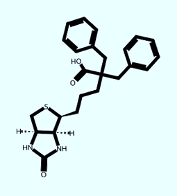 O=C1N[C@H]2[C@H](CS[C@H]2CCCC(Cc2ccccc2)(Cc2ccccc2)C(=O)O)N1